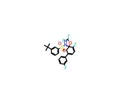 CC(C)(C)c1cccc(S(=O)(=O)NC2(OC(F)F)CC(c3cccc(F)c3)=CC=C2F)c1